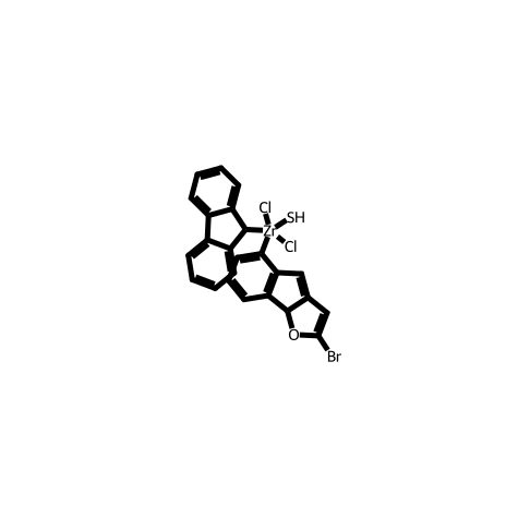 [SH][Zr]([Cl])([Cl])([c]1cccc2c1C=C1C=C(Br)OC12)[CH]1c2ccccc2-c2ccccc21